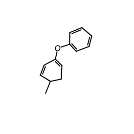 CC1C=CC(Oc2ccccc2)=CC1